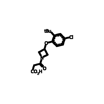 CC(C)(C)c1cc(Cl)ccc1OC1CN(C(=O)CC(=O)O)C1